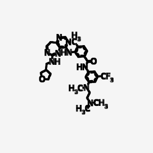 Cc1ccc(C(=O)Nc2cc(N(C)CCN(C)C)cc(C(F)(F)F)c2)cc1Nc1ncnc2c1N=C(NCC1CCOC1)N=CC2